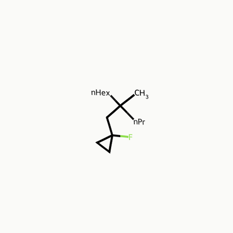 CCCCCCC(C)(CCC)CC1(F)CC1